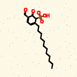 CCCCCCCCCCCCC1=CC=C(C=O)C(=O)C1S(=O)(=O)O